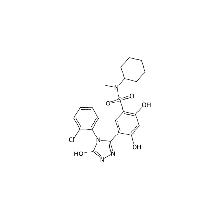 CN(C1CCCCC1)S(=O)(=O)c1cc(-c2nnc(O)n2-c2ccccc2Cl)c(O)cc1O